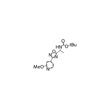 COc1cc(-c2noc(C(C)NC(=O)OC(C)(C)C)n2)ccn1